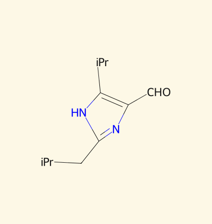 CC(C)Cc1nc(C=O)c(C(C)C)[nH]1